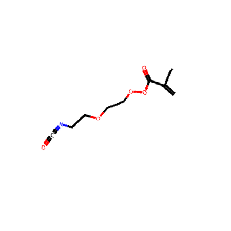 C=C(C)C(=O)OOCCOCCN=C=O